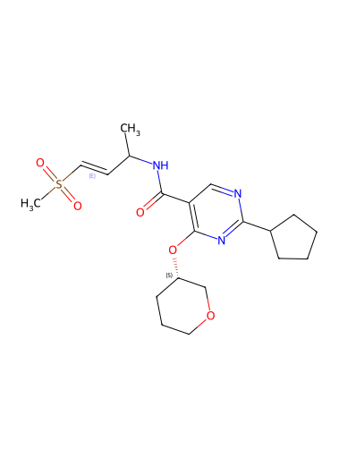 CC(/C=C/S(C)(=O)=O)NC(=O)c1cnc(C2CCCC2)nc1O[C@H]1CCCOC1